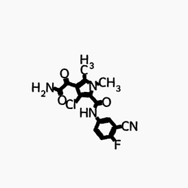 Cc1c(C(=O)C(N)=O)c(Cl)c(C(=O)Nc2ccc(F)c(C#N)c2)n1C